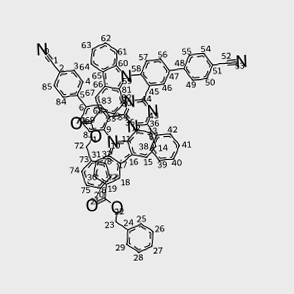 N#Cc1ccc(-c2ccc(-n3c4ccccc4c4cc(C(=O)OCc5ccccc5)ccc43)c(-c3nc(-c4ccccc4)nc(-c4cc(-c5ccc(C#N)cc5)ccc4-n4c5ccccc5c5cc(C(=O)OCc6ccccc6)ccc54)n3)c2)cc1